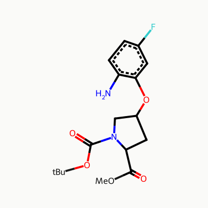 COC(=O)C1CC(Oc2cc(F)ccc2N)CN1C(=O)OC(C)(C)C